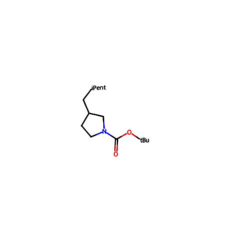 CCCC(C)CC1CCN(C(=O)OC(C)(C)C)C1